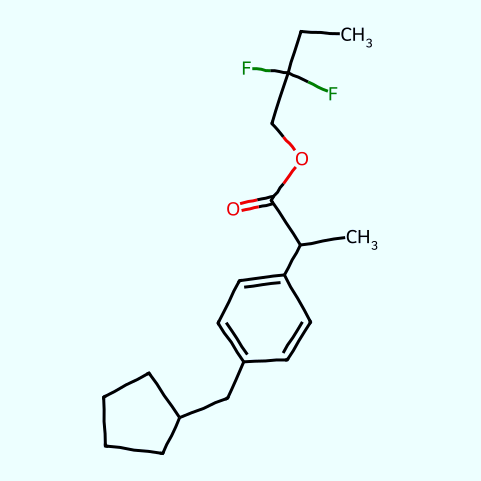 CCC(F)(F)COC(=O)C(C)c1ccc(CC2CCCC2)cc1